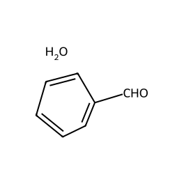 O.O=Cc1ccccc1